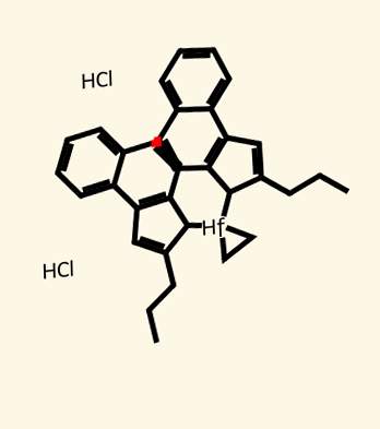 CCCC1=Cc2c(ccc3ccccc23)[CH]1[Hf]1([CH]2C(CCC)=Cc3c2ccc2ccccc32)[CH2][CH2]1.Cl.Cl